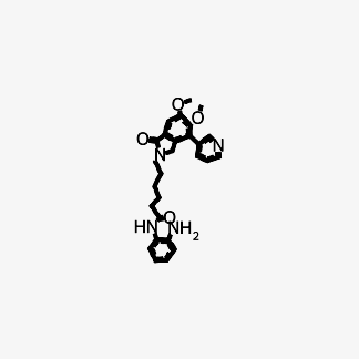 COc1cc2c(c(-c3cccnc3)c1OC)CN(CCCCCC(=O)Nc1ccccc1N)C2=O